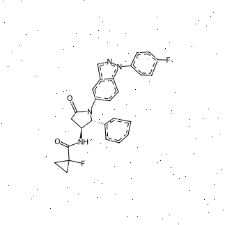 O=C1C[C@H](NC(=O)C2(F)CC2)[C@@H](c2ccccc2)N1c1ccc2c(cnn2-c2ccc(F)cc2)c1